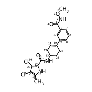 CONC(=O)c1cccc(C2=CCC(NC(=O)c3[nH]c(C)c(Cl)c3Cl)CC2)c1